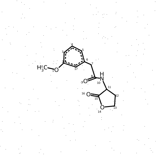 COc1cccc(CC(=O)NC2CCOC2=O)c1